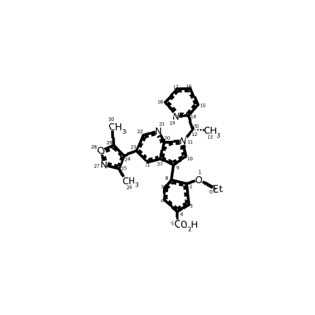 CCOc1cc(C(=O)O)ccc1-c1cn([C@@H](C)c2ccccn2)c2ncc(-c3c(C)noc3C)cc12